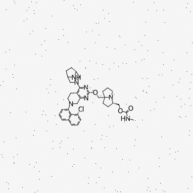 CNC(=O)OC[C@H]1CCC2(COc3nc4c(c(N5CC6CCC(C5)N6)n3)CCN(c3cccc5cccc(Cl)c35)C4)CCCN12